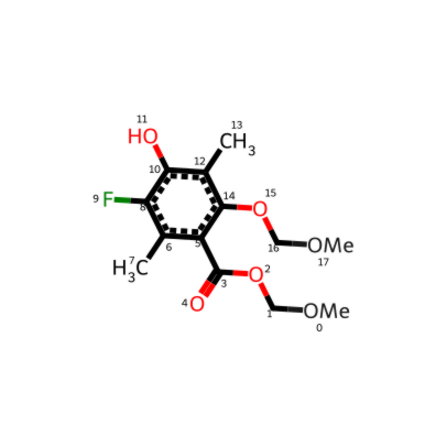 COCOC(=O)c1c(C)c(F)c(O)c(C)c1OCOC